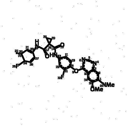 CNc1cc2ncnc(Oc3ccc(NC(=O)C4(C(=O)NC5=C[C@H](C)C(F)C=C5)CC4)cc3F)c2cc1OC